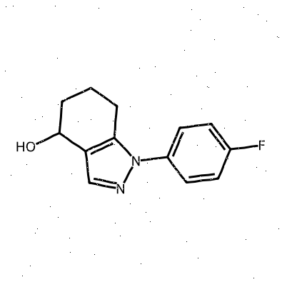 OC1CCCc2c1cnn2-c1ccc(F)cc1